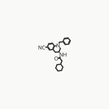 N#Cc1ccc2c(c1)CC(NC(=O)CC1CCCCC1)CN2Cc1ccccc1